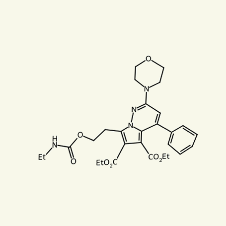 CCNC(=O)OCCc1c(C(=O)OCC)c(C(=O)OCC)c2c(-c3ccccc3)cc(N3CCOCC3)nn12